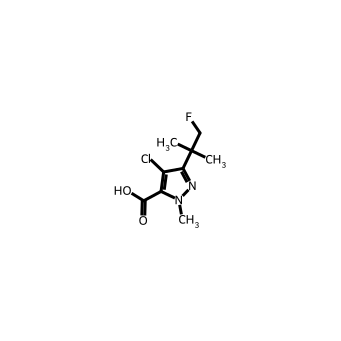 Cn1nc(C(C)(C)CF)c(Cl)c1C(=O)O